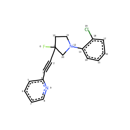 FC1(C#Cc2ccccn2)CCN(c2ccccc2Cl)C1